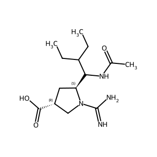 CCC(CC)C(NC(C)=O)[C@@H]1C[C@@H](C(=O)O)CN1C(=N)N